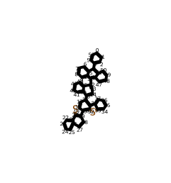 c1ccc(-c2c3ccccc3c(-c3ccc(-c4cc5sc6c7ccccc7ccc6c5c5sc6ccccc6c45)c4ccccc34)c3ccccc23)cc1